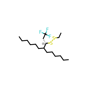 CCCCCCC(CCCCCC)[C@H](CC(F)(F)F)SSCC